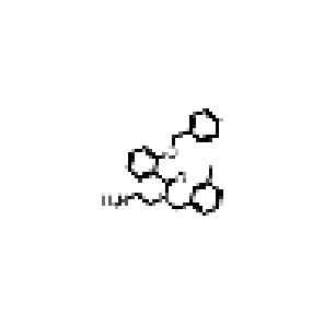 Cc1cccc(CN(CCN)C(=O)c2ccccc2OCc2ccccc2)c1